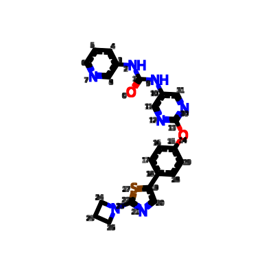 O=C(Nc1cccnc1)Nc1cnc(Oc2ccc(-c3cnc(N4CCC4)s3)cc2)nc1